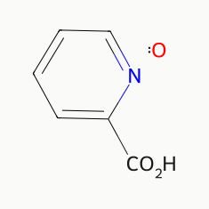 O=C(O)c1ccccn1.[O]